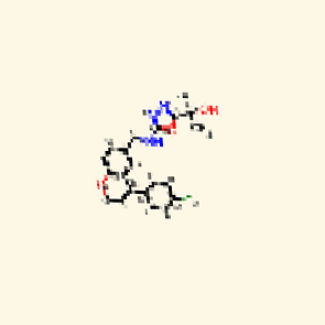 CCC(O)(c1nnc(NCc2ccc3c(c2)C(c2ccc(F)cc2)=CCO3)o1)C(F)(F)F